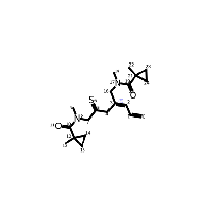 C=C/C=C(\CC(=S)CN(C)C(=O)C1(C)CC1)CN(C)C(=O)C1(C)CC1